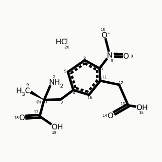 C[C@@](N)(Cc1ccc([N+](=O)[O-])c(CC(=O)O)c1)C(=O)O.Cl